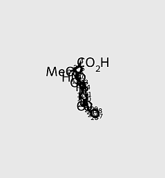 COc1cc(C(=O)O)ccc1NS(=O)(=O)c1csc(N2CCN(C(=O)OCC3CCCCC3)CC2)n1